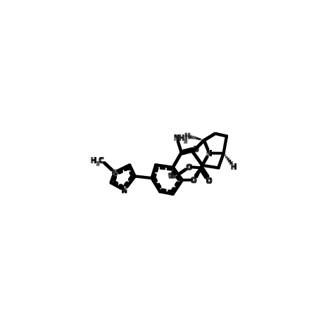 Cn1cnc(-c2ccc(O[C@H]3C[C@H]4CC[C@@H](C3)N4C(=O)OC(C)(C)C)c(C(N)=O)c2)c1